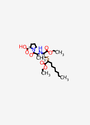 CCCCCCCC(SC[C@H](N[C@@H](C)C(=O)N1CCC[C@H]1C(=O)O)C(=O)OCC)C(=O)OCC